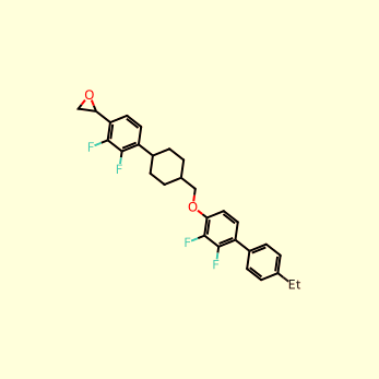 CCc1ccc(-c2ccc(OCC3CCC(c4ccc(C5CO5)c(F)c4F)CC3)c(F)c2F)cc1